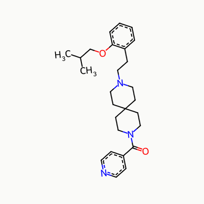 CC(C)COc1ccccc1CCN1CCC2(CC1)CCN(C(=O)c1ccncc1)CC2